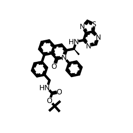 C[C@H](Nc1ncnc2scnc12)c1cc2cccc(-c3cccc(CNC(=O)OC(C)(C)C)c3)c2c(=O)n1-c1ccccc1